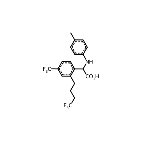 Cc1ccc(NC(C(=O)O)c2ccc(C(F)(F)F)cc2CCCC(F)(F)F)cc1